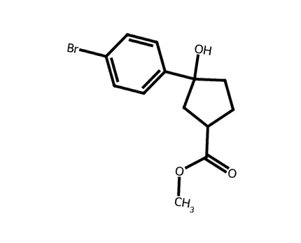 COC(=O)C1CCC(O)(c2ccc(Br)cc2)C1